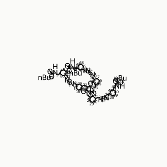 CCCCOC(=O)NCC1CCCC(CN=C=NCC2CCCC(CC3C(=O)N(CC4CCCC(CN=C=NCC5CCCC(CNC(=O)OCCCC)C5)C4)C(=O)N(CC4CCCC(CN=C=NCC5CCCC(CNC(=O)OCCCC)C5)C4)C3=O)C2)C1